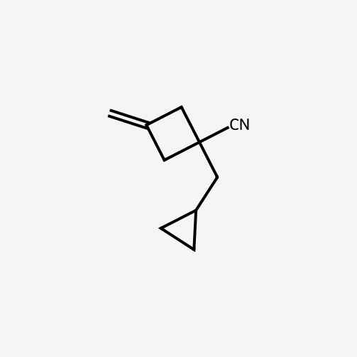 C=C1CC(C#N)(CC2CC2)C1